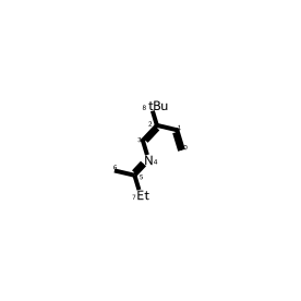 C=C/C(=C\N=C(/C)CC)C(C)(C)C